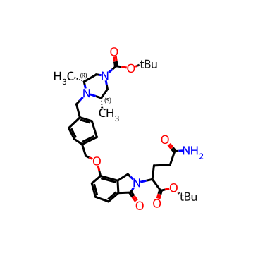 C[C@@H]1CN(C(=O)OC(C)(C)C)C[C@H](C)N1Cc1ccc(COc2cccc3c2CN(C(CCC(N)=O)C(=O)OC(C)(C)C)C3=O)cc1